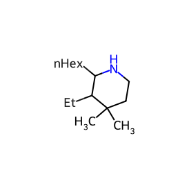 CCCCCCC1NCCC(C)(C)C1CC